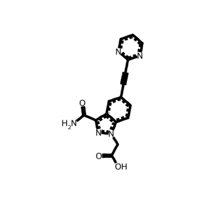 NC(=O)c1nn(CC(=O)O)c2ccc(C#Cc3ncccn3)cc12